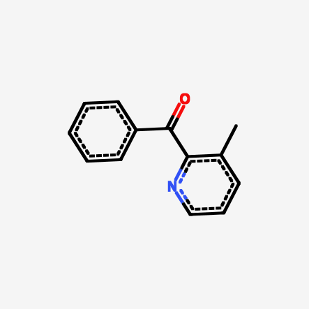 Cc1cccnc1C(=O)c1ccccc1